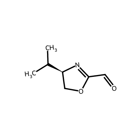 CC(C)[C@@H]1COC(C=O)=N1